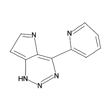 c1ccc(-c2nn[nH]c3ccnc2-3)nc1